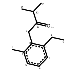 CCc1cccc(C)c1CC(=O)C(C)C